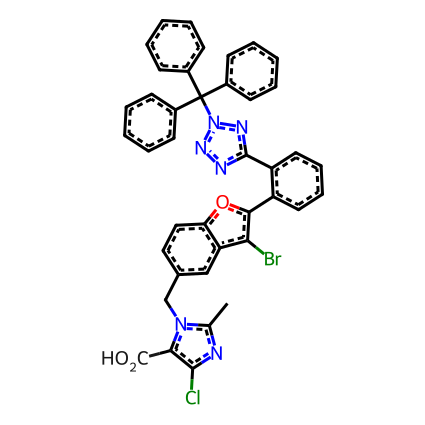 Cc1nc(Cl)c(C(=O)O)n1Cc1ccc2oc(-c3ccccc3-c3nnn(C(c4ccccc4)(c4ccccc4)c4ccccc4)n3)c(Br)c2c1